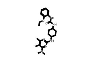 CCOc1ccccc1NC(=O)NC1CCC(Nc2nc(C)c(C)c(N(C)C)n2)CC1